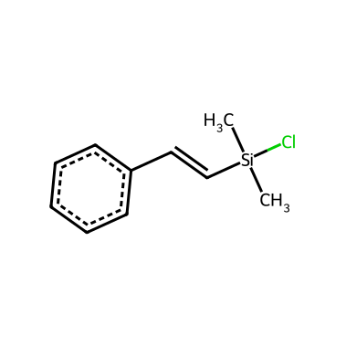 C[Si](C)(Cl)/C=C/c1ccccc1